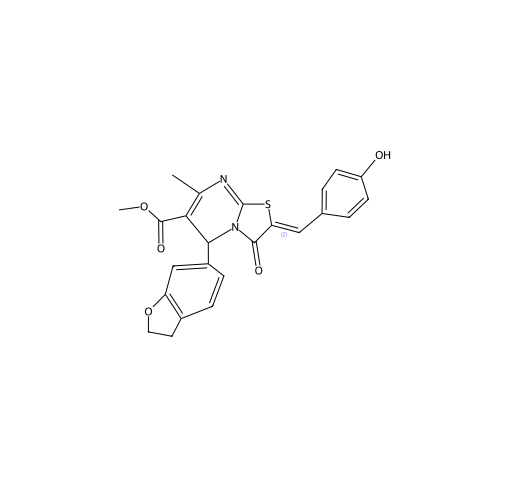 COC(=O)C1=C(C)N=c2s/c(=C\c3ccc(O)cc3)c(=O)n2C1c1ccc2c(c1)OCC2